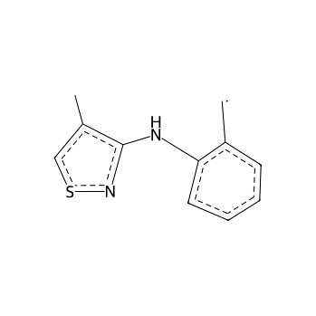 [CH2]c1ccccc1Nc1nscc1C